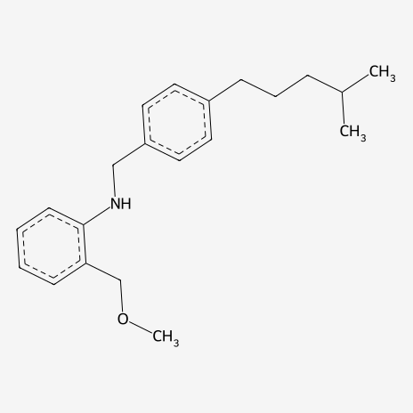 COCc1ccccc1NCc1ccc(CCCC(C)C)cc1